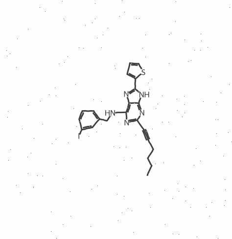 CCCCC#Cc1nc(NCc2cccc(I)c2)c2nc(-c3cccs3)[nH]c2n1